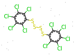 Clc1c(Cl)c(Cl)c(SSSSc2c(Cl)c(Cl)c(Cl)c(Cl)c2Cl)c(Cl)c1Cl